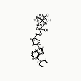 CCN(CC)c1ncnc2c1ncn2[C@H]1CC[C@@H](COP(=O)(O)OP(=O)(O)C(Br)(Br)P(=O)(O)O)O1